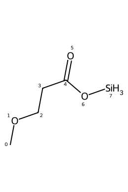 COCCC(=O)O[SiH3]